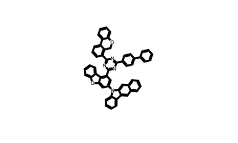 c1ccc(-c2ccc(-c3nc(-c4cccc5c4COc4ccccc4-5)nc(-c4cc(-n5c6ccccc6c6cc7ccccc7cc65)cc5oc6ccccc6c45)n3)cc2)cc1